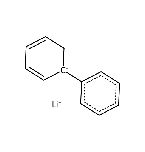 C1=CC[C-](c2ccccc2)C=C1.[Li+]